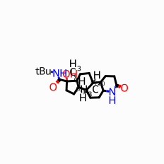 CC(C)(C)NC(=O)C1(O)CC[C@H]2[C@@H]3CCC4NC(=O)CC[C@]4(C)[C@@H]3CC[C@@]21C